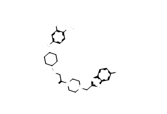 N#Cc1ccc(N[C@H]2CC[C@H](OCC(=O)N3CCN(Cc4nc5cc(C(F)(F)F)ccc5s4)CC3)CC2)cc1C(F)(F)F